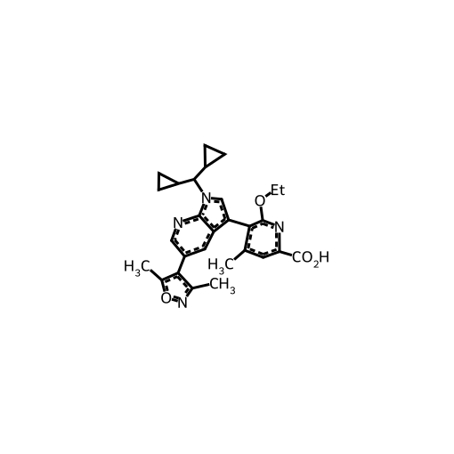 CCOc1nc(C(=O)O)cc(C)c1-c1cn(C(C2CC2)C2CC2)c2ncc(-c3c(C)noc3C)cc12